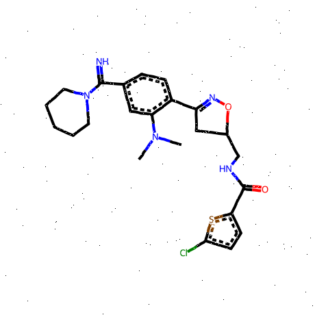 CN(C)c1cc(C(=N)N2CCCCC2)ccc1C1=NOC(CNC(=O)c2ccc(Cl)s2)C1